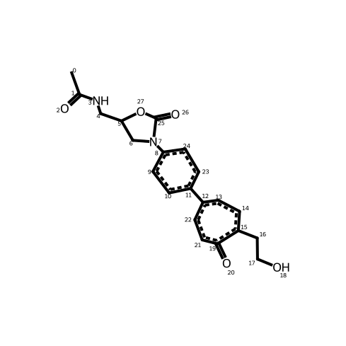 CC(=O)NCC1CN(c2ccc(-c3ccc(CCO)c(=O)cc3)cc2)C(=O)O1